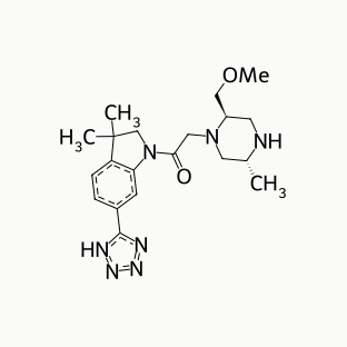 COC[C@H]1CN[C@H](C)CN1CC(=O)N1CC(C)(C)c2ccc(-c3nnn[nH]3)cc21